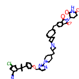 CC(C)(C1=CC(Cl)=CC(C#N)C1)c1ccc(OCc2ccnc(N3CCCC(CC4CN(C5CC6(CCCC(Cc7ccc8c(c7)C(=O)N(C7CCC(=O)NC7=O)C8=O)CC6)C5)C4)CC3)n2)cc1